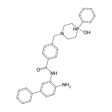 Nc1ccc(-c2ccccc2)cc1NC(=O)c1ccc(CN2CC[PH](O)(c3ccccc3)CC2)cc1